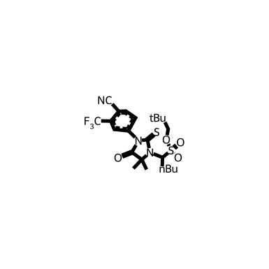 CCCCC(N1C(=S)N(c2ccc(C#N)c(C(F)(F)F)c2)C(=O)C1(C)C)S(=O)(=O)OCC(C)(C)C